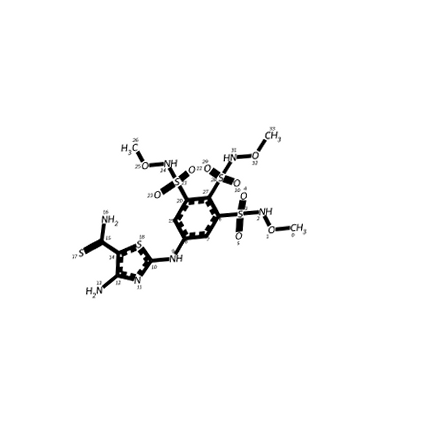 CONS(=O)(=O)c1cc(Nc2nc(N)c(C(N)=S)s2)cc(S(=O)(=O)NOC)c1S(=O)(=O)NOC